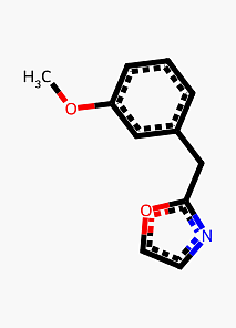 COc1cccc(Cc2ncco2)c1